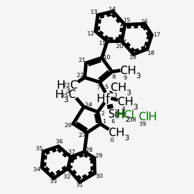 CC1=[C]([Hf]([CH3])([CH3])(=[SiH2])[C]2=C(C)C(c3cccc4ccccc34)=CC2C)C(C)C=C1c1cccc2ccccc12.Cl.Cl